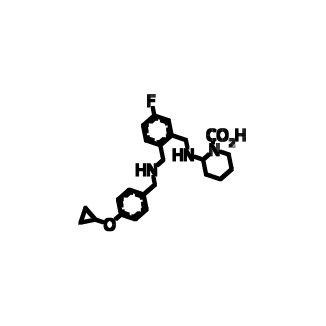 O=C(O)N1CCCCC1NCc1cc(F)ccc1CNCc1ccc(OC2CC2)cc1